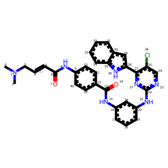 CN(C)C/C=C/C(=O)Nc1ccc(C(=O)Nc2cccc(Nc3ncc(Cl)c(-c4cc5ccccc5[nH]4)n3)c2)cc1